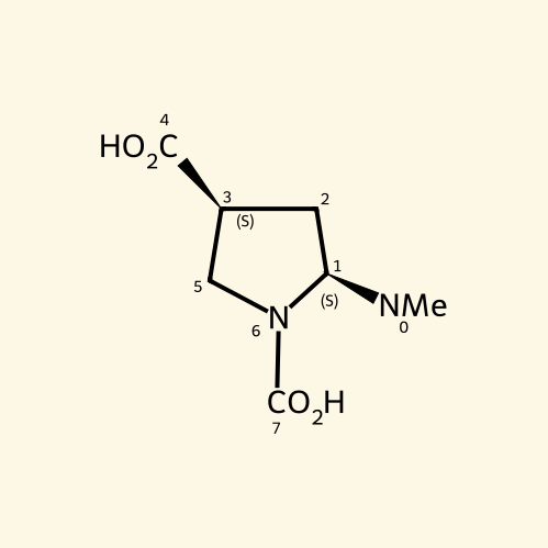 CN[C@@H]1C[C@H](C(=O)O)CN1C(=O)O